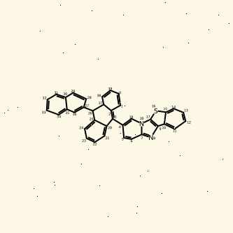 C1=CC2=C(c3ccc4nc5c6ccccc6sc5n4c3)c3ccccc3C(c3ccc4ccccc4c3)C2C=C1